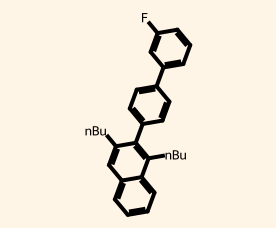 CCCCc1cc2ccccc2c(CCCC)c1-c1ccc(-c2cccc(F)c2)cc1